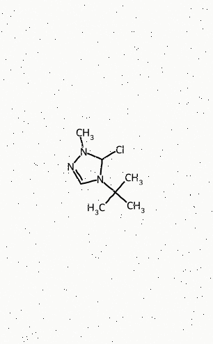 CN1N=CN(C(C)(C)C)C1Cl